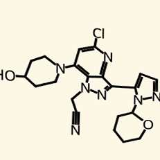 N#CCn1nc(-c2ccnn2C2CCCCO2)c2nc(Cl)cc(N3CCC(O)CC3)c21